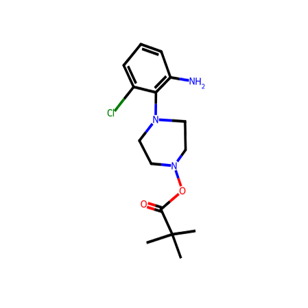 CC(C)(C)C(=O)ON1CCN(c2c(N)cccc2Cl)CC1